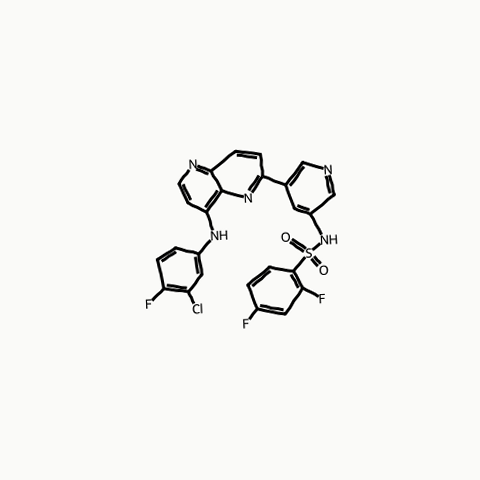 O=S(=O)(Nc1cncc(-c2ccc3nccc(Nc4ccc(F)c(Cl)c4)c3n2)c1)c1ccc(F)cc1F